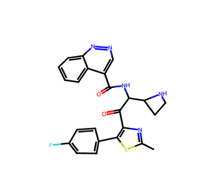 Cc1nc(C(=O)C(NC(=O)c2cnnc3ccccc23)C2CCN2)c(-c2ccc(F)cc2)s1